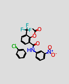 CC(=O)Oc1c(C(=O)Nc2cccc([N+](=O)[O-])c2)cccc1C(F)(F)F.Clc1ccccc1